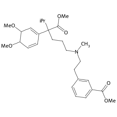 COC(=O)c1cccc(CCN(C)CCCC(C(=O)OC)(C2=CC(OC)C(OC)C=C2)C(C)C)c1